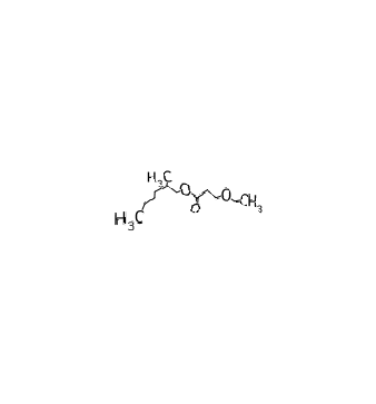 CCCCC(C)COC(=O)CCOCC